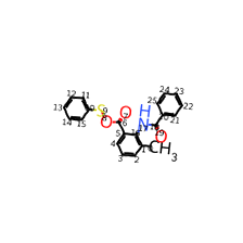 Cc1cccc(C(=O)OSc2ccccc2)c1NC(=O)c1ccccc1